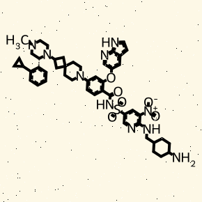 CN1CCN(C2CC3(CCN(c4ccc(C(=O)NS(=O)(=O)c5cnc(NCC6CCC(N)CC6)c([N+](=O)[O-])c5)c(Oc5cnc6[nH]ccc6c5)c4)CC3)C2)[C@H](c2ccccc2C2CC2)C1